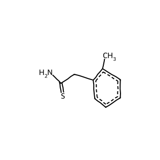 Cc1ccccc1CC(N)=S